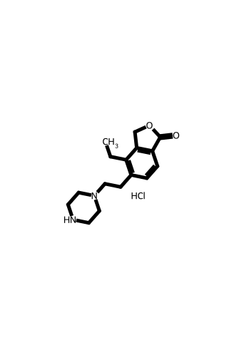 CCc1c(CCN2CCNCC2)ccc2c1COC2=O.Cl